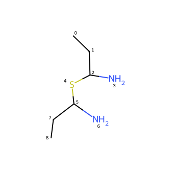 CCC(N)SC(N)CC